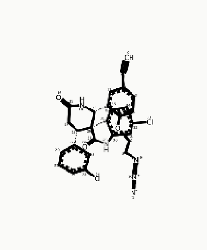 C#Cc1ccc(OCCN=[N+]=[N-])c([C@H]2NC(=O)C[C@@H](c3cccc(Cl)c3)[C@]23C(=O)Nc2cc(Cl)ccc23)c1